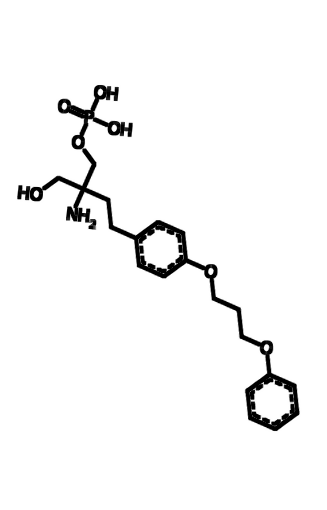 NC(CO)(CCc1ccc(OCCCOc2ccccc2)cc1)COP(=O)(O)O